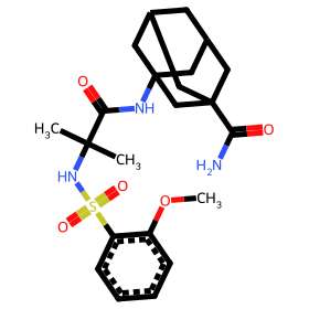 COc1ccccc1S(=O)(=O)NC(C)(C)C(=O)NC12CC3CC(C1)CC(C(N)=O)(C3)C2